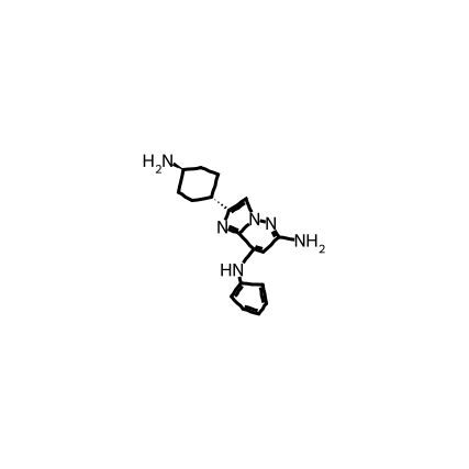 Nc1cc(Nc2ccccc2)c2nc([C@H]3CC[C@H](N)CC3)cn2n1